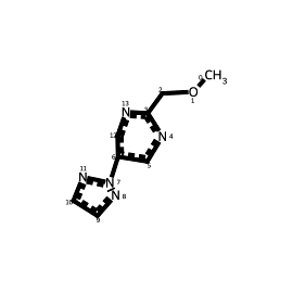 COCc1ncc(-n2nccn2)cn1